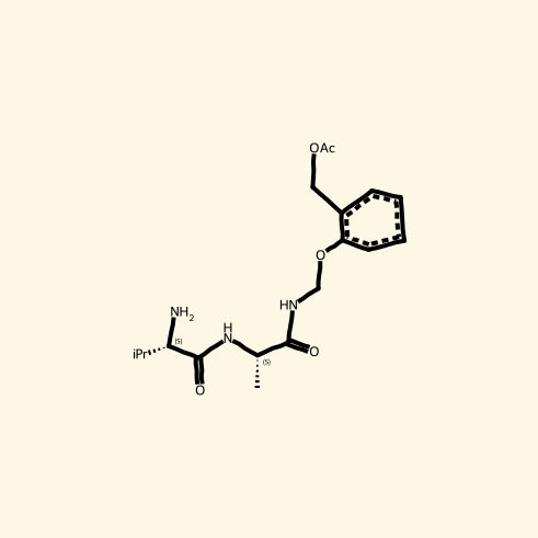 CC(=O)OCc1ccccc1OCNC(=O)[C@H](C)NC(=O)[C@@H](N)C(C)C